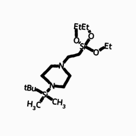 CCO[Si](CCN1CCN([Si](C)(C)C(C)(C)C)CC1)(OCC)OCC